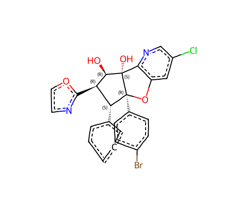 O[C@@H]1[C@H](c2ncco2)[C@@H](c2ccccc2)[C@]2(c3ccc(Br)cc3)Oc3cc(Cl)cnc3[C@]12O